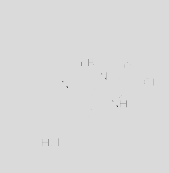 CCCCN1C(=O)[C@@H]([C@H](O)C2CCCCC2)NC(=O)C12CCN(C(C=Cc1ccccc1)c1ccccc1)CC2.Cl